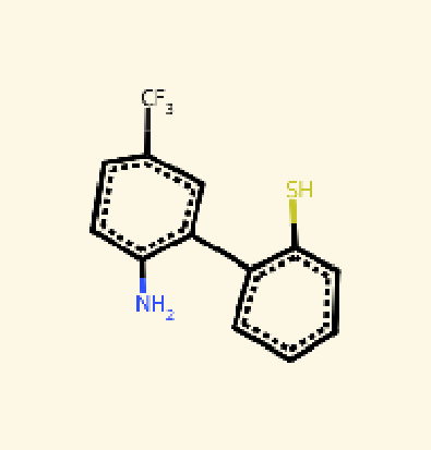 Nc1ccc(C(F)(F)F)cc1-c1ccccc1S